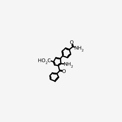 NC(=O)c1ccc(-c2cc(C(=O)O)cc(C(=O)c3ccccc3)c2N)cc1